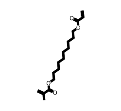 C=CC(=O)OCCCCCCCCCCOC(=O)C(=C)C